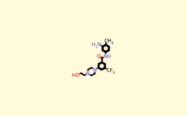 Cc1ccc(NC(=O)c2cc(N3CCN(CCO)CC3)cc(C(F)(F)F)c2)cc1N